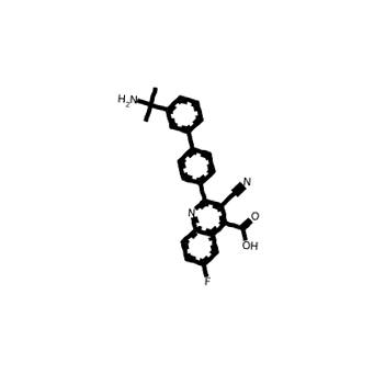 CC(C)(N)c1cccc(-c2ccc(-c3nc4ccc(F)cc4c(C(=O)O)c3C#N)cc2)c1